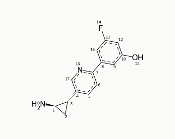 N[C@@H]1C[C@H]1c1ccc(-c2cc(O)cc(F)c2)nc1